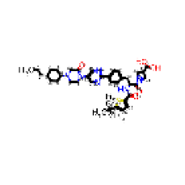 CCC[C@H]1CC[C@H](N2CCN(c3cnc(-c4ccc(CC(NC(=O)c5ccc(C(C)(C)C)s5)C(=O)N5CC(C(O)O)C5)cc4)nc3)C(=O)C2)CC1